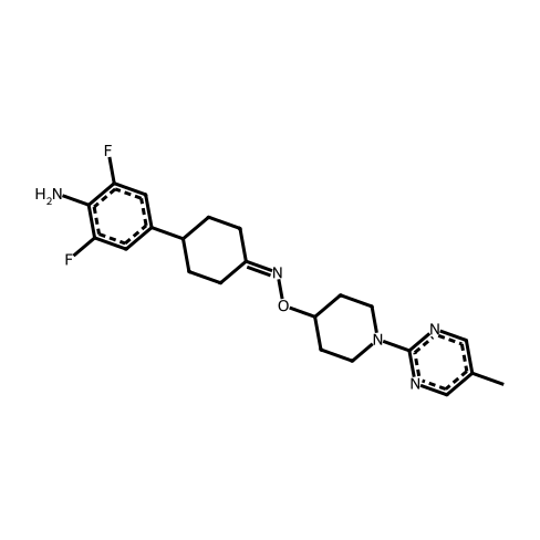 Cc1cnc(N2CCC(ON=C3CCC(c4cc(F)c(N)c(F)c4)CC3)CC2)nc1